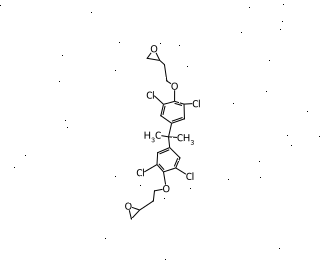 CC(C)(c1cc(Cl)c(OCCC2CO2)c(Cl)c1)c1cc(Cl)c(OCCC2CO2)c(Cl)c1